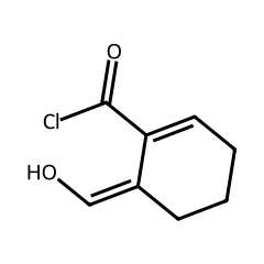 O=C(Cl)C1=CCCCC1=CO